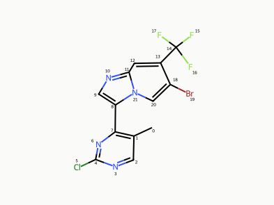 Cc1cnc(Cl)nc1-c1cnc2cc(C(F)(F)F)c(Br)cn12